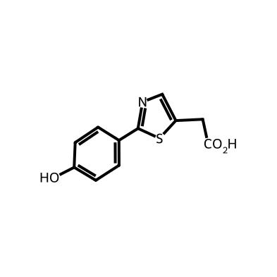 O=C(O)Cc1cnc(-c2ccc(O)cc2)s1